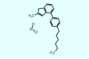 CCCCCCc1ccc(-c2cccc3c2C=C(C)[CH]3)cc1.[Cl][Zr][Cl]